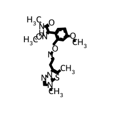 CNC(=O)C(=NOC)c1ccc(OC)cc1CON=CCC1=C(C)SC2N(C)C=NN12